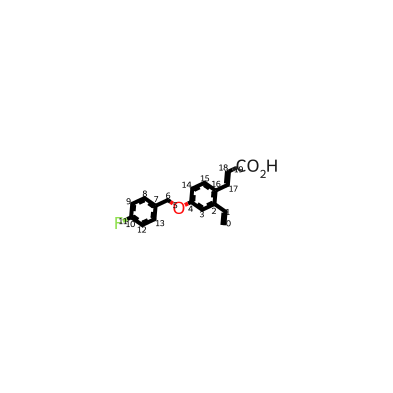 C=Cc1cc(OCc2ccc(F)cc2)ccc1C=CC(=O)O